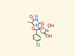 Cc1cn([C@@]2(C(=O)c3ccc(Cl)cc3)C[C@H](O)[C@@H](CO)O2)c(=O)[nH]c1=O